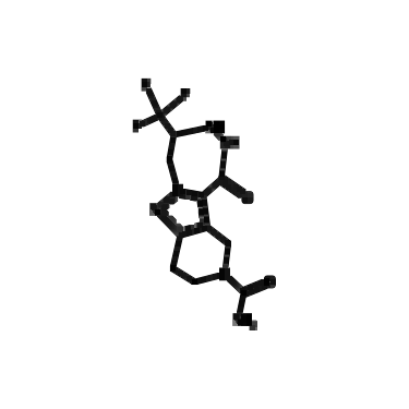 NC(=O)N1CCc2nn3c(c2C1)C(=O)NNC(C(F)(F)F)C3